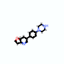 c1cc2ncc(-c3ccc(N4CCNCC4)cc3)cc2o1